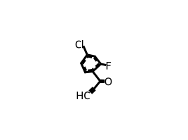 C#CC(=O)c1ccc(Cl)cc1F